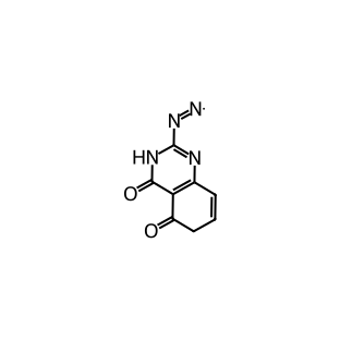 [N]=Nc1nc2c(c(=O)[nH]1)C(=O)CC=C2